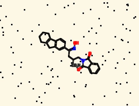 O=C(O)C(C/C(=N/O)c1ccc2c(c1)CC1=C2CCCC1)CN1C(=O)c2ccccc2C1=O